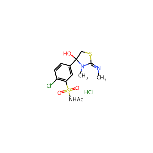 CN=C1SCC(O)(c2ccc(Cl)c(S(=O)(=O)NC(C)=O)c2)N1C.Cl